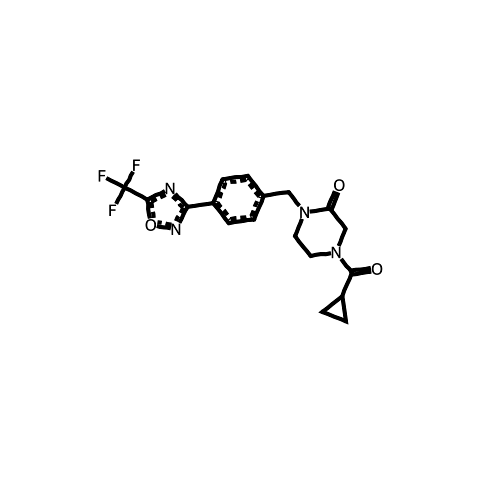 O=C1CN(C(=O)C2CC2)CCN1Cc1ccc(-c2noc(C(F)(F)F)n2)cc1